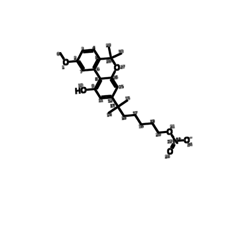 COc1ccc2c(c1)-c1c(O)cc(C(C)(C)CCCCCO[N+](=O)[O-])cc1OC2(C)C